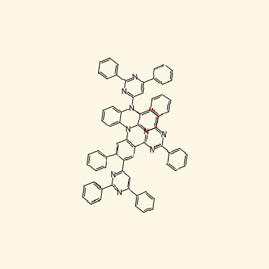 c1ccc(-c2cc(-c3cc(-c4nc(-c5ccccc5)nc(-c5ccccc5)n4)c(N4c5ccccc5N(c5cc(-c6ccccc6)nc(-c6ccccc6)n5)c5ccccc54)cc3-c3ccccc3)nc(-c3ccccc3)n2)cc1